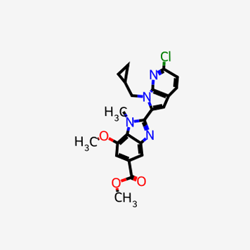 COC(=O)c1cc(OC)c2c(c1)nc(-c1cc3ccc(Cl)nc3n1CC1CC1)n2C